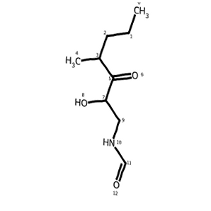 CCCC(C)C(=O)C(O)CNC=O